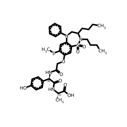 CCCCC1CN(c2ccccc2)c2cc(SC)c(OCC(=O)N[C@@H](C(=O)N[C@@H](C)C(=O)O)c3ccc(O)cc3)cc2S(=O)(=O)N1CCCC